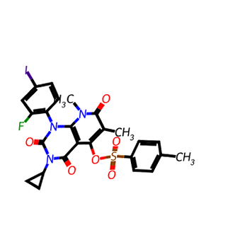 Cc1ccc(S(=O)(=O)Oc2c(C)c(=O)n(C)c3c2c(=O)n(C2CC2)c(=O)n3-c2ccc(I)cc2F)cc1